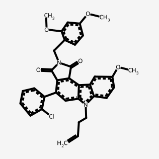 C=CCCn1c2ccc(OC)cc2c2c3c(c(-c4ccccc4Cl)cc21)C(=O)N(Cc1ccc(OC)cc1OC)C3=O